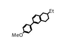 CCC1CCc2cc(-c3ccc(OC)cc3)ccc2C1